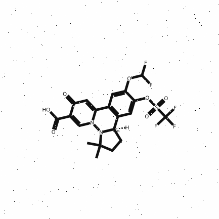 CC1(C)CC[C@@H]2c3cc(OS(=O)(=O)C(F)(F)F)c(OC(F)F)cc3-c3cc(=O)c(C(=O)O)cn3N21